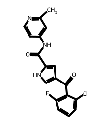 Cc1cc(NC(=O)c2cc(C(=O)c3c(F)cccc3Cl)c[nH]2)ccn1